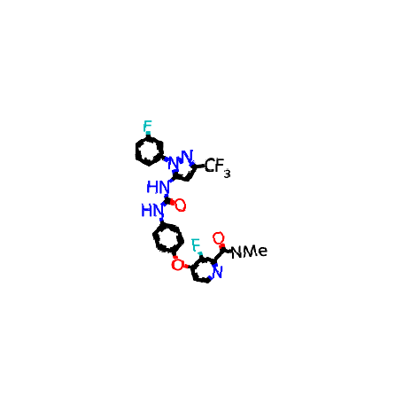 CNC(=O)c1nccc(Oc2ccc(NC(=O)Nc3cc(C(F)(F)F)nn3-c3cccc(F)c3)cc2)c1F